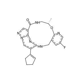 C[C@H]1CNC(=O)c2cnn3cc(C4=CCCC4)c(nc23)NCc2cc(F)cnc2O1